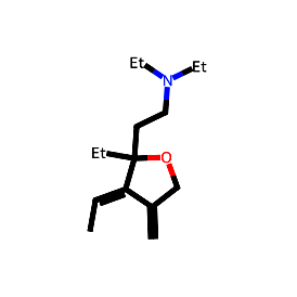 C=C1COC(CC)(CCN(CC)CC)/C1=C/C